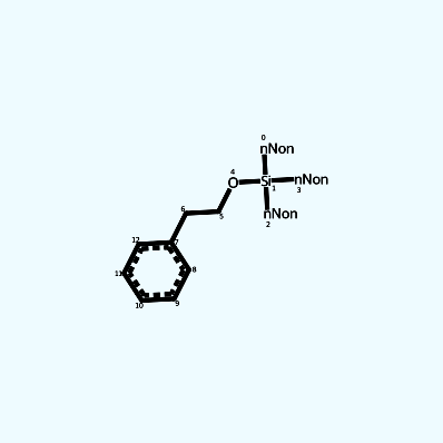 CCCCCCCCC[Si](CCCCCCCCC)(CCCCCCCCC)OCCc1ccccc1